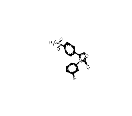 CS(=O)(=O)c1ccc(-c2coc(=O)n2-c2cccc(F)c2)cc1